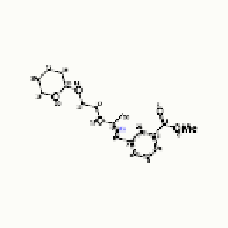 COC(=O)c1cccc(/C=C(\C)OCCOC2CCCCO2)c1